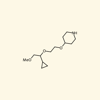 COCC(OCCOC1CCNCC1)C1CC1